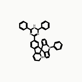 C1=CC2=C(NC1)C1(c3cc(C4=NC(c5ccccc5)NC(c5ccccc5)=N4)ccc32)c2ccccc2N(c2ccccc2)c2ccccc21